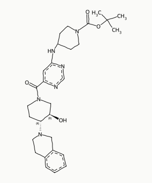 CC(C)(C)OC(=O)N1CCC(Nc2cc(C(=O)N3CC[C@@H](N4CCc5ccccc5C4)[C@H](O)C3)ncn2)CC1